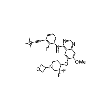 COc1cc2ncnc(Nc3cccc(C#C[Si](C)(C)C)c3F)c2cc1OC1CCN(C2COC2)CC1(F)F